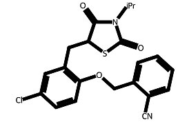 CC(C)N1C(=O)SC(Cc2cc(Cl)ccc2OCc2ccccc2C#N)C1=O